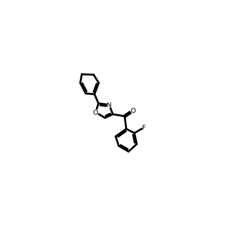 O=C(c1coc(C2=CCCC=C2)n1)c1ccccc1F